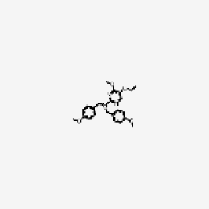 CCOc1cnc(N(Cc2ccc(OC)cc2)Cc2ccc(OC)cc2)nc1OC